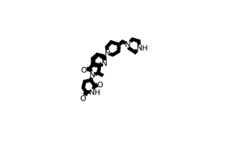 CC1c2nc(N3CCC(CN4CCNCC4)CC3)ccc2C(=O)N1C1CCC(=O)NC1=O